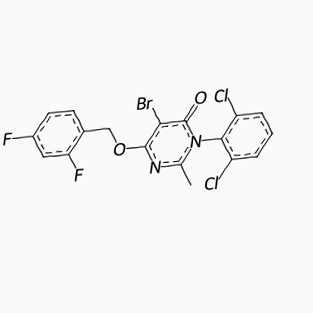 Cc1nc(OCc2ccc(F)cc2F)c(Br)c(=O)n1-c1c(Cl)cccc1Cl